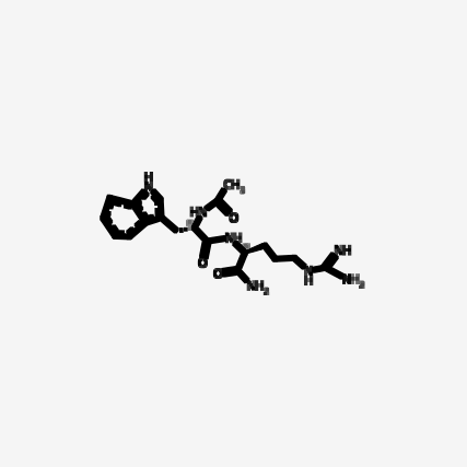 CC(=O)N[C@@H](Cc1c[nH]c2ccccc12)C(=O)N[C@@H](CCCNC(=N)N)C(N)=O